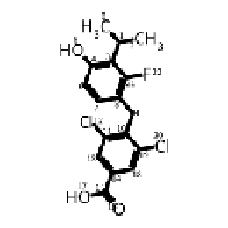 CC(C)c1c(O)ccc(Cc2c(Cl)cc(C(=O)O)cc2Cl)c1F